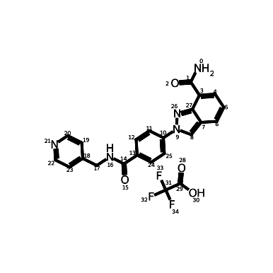 NC(=O)c1cccc2cn(-c3ccc(C(=O)NCc4ccncc4)cc3)nc12.O=C(O)C(F)(F)F